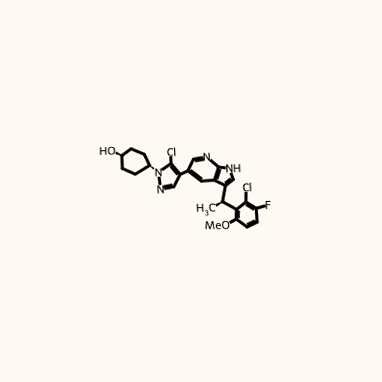 COc1ccc(F)c(Cl)c1[C@@H](C)c1c[nH]c2ncc(-c3cnn([C@H]4CC[C@H](O)CC4)c3Cl)cc12